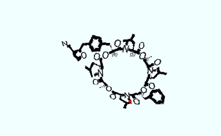 CC(C)C[C@H]1C(=O)O[C@H](Cc2ccc(Cc3occc3C#N)cc2)C(=O)N(C)[C@@H](CC(C)C)C(=O)O[C@H](C)C(=O)N(C)[C@@H](CC(C)C)C(=O)O[C@H](Cc2ccccc2)C(=O)N(C)[C@@H](CC(C)C)C(=O)O[C@H](C)C(=O)N1C